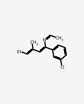 C\C=N/C(=C\C(C)=C\CC)c1cccc(Cl)c1